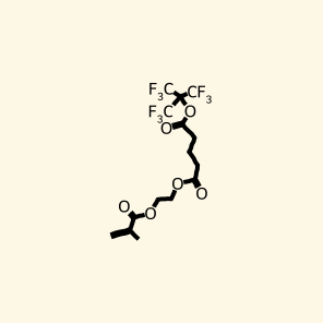 C=C(C)C(=O)OCCOC(=O)CCCC(=O)OC(C(F)(F)F)(C(F)(F)F)C(F)(F)F